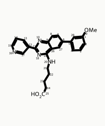 COc1cccc(-c2ccc3nc(-c4cccnc4)nc(NCCCCC(=O)O)c3c2)c1